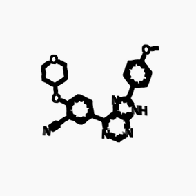 COc1ccc(-c2nc3c(-c4ccc(OC5CCOCC5)c(C#N)c4)ncnc3[nH]2)cc1